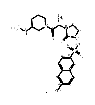 C[C@@H](C(=O)N1CCCC(NC(=O)O)C1)N1CC[C@H](NS(=O)(=O)c2ccc3cc(Cl)ccc3c2)C1=O